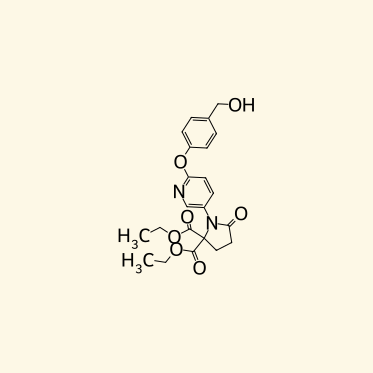 CCOC(=O)C1(C(=O)OCC)CCC(=O)N1c1ccc(Oc2ccc(CO)cc2)nc1